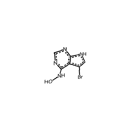 ONc1ncnc2[nH]cc(Br)c12